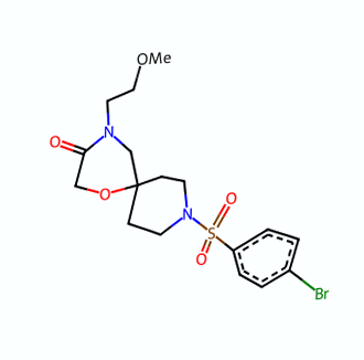 COCCN1CC2(CCN(S(=O)(=O)c3ccc(Br)cc3)CC2)OCC1=O